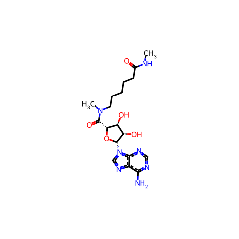 CNC(=O)CCCCCN(C)C(=O)[C@H]1O[C@@H](n2cnc3c(N)ncnc32)[C@H](O)[C@@H]1O